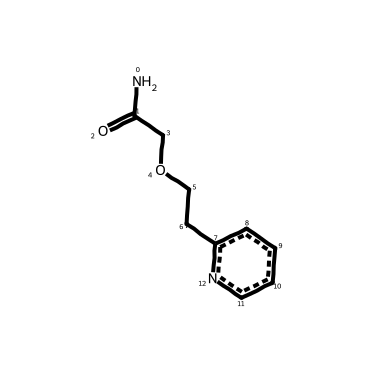 NC(=O)COC[CH]c1ccccn1